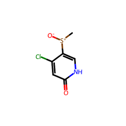 C[S+]([O-])c1c[nH]c(=O)cc1Cl